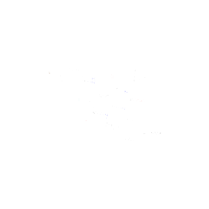 CNc1cccc(-n2c(=O)n(C3CC3)c(=O)c3c(Nc4ccc(Br)cc4F)cc(=O)n(C)c32)c1